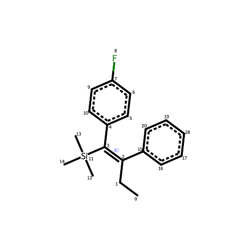 CC/C(=C(/c1ccc(F)cc1)[Si](C)(C)C)c1ccccc1